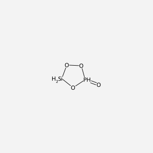 O=[PH]1OO[SiH2]O1